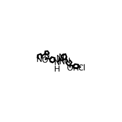 O=C(c1ccc(Nc2nc3c(N4CCC(O)(c5ccc(Cl)cc5)CC4)cccn3n2)cc1)N1CCCC1c1cccnc1